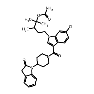 CC(CCn1cc(C(=O)N2CCC(N3C(=O)Cc4ccccc43)CC2)c2ccc(Cl)cc21)C(C)(C)OC(N)=O